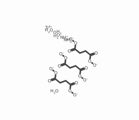 O.O.O.O.O=C(CCC(=O)O[O-])O[O-].O=C(CCC(=O)O[O-])O[O-].O=C(CCC(=O)O[O-])O[O-].[NH4+].[NH4+].[Ti+4]